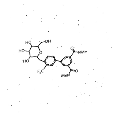 CNC(=O)c1cc(C(=O)NC)cc(-c2ccc(CC3OC(CO)C(O)C(O)C3O)c(C(F)(F)F)c2)c1